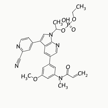 C=CC(=O)N(C)c1cc(OC)cc(-c2cnc3c(c2)c(-c2ccnc(C#N)c2)cn3C(C)OP(=O)(O)OCC)c1